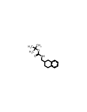 CC(C)(C)OC(=O)NCC1CCc2cc[c]cc2C1